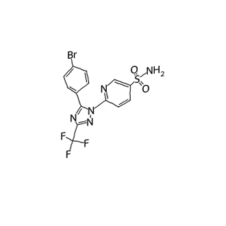 NS(=O)(=O)c1ccc(-n2nc(C(F)(F)F)nc2-c2ccc(Br)cc2)nc1